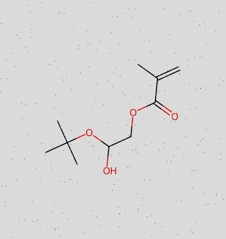 C=C(C)C(=O)OCC(O)OC(C)(C)C